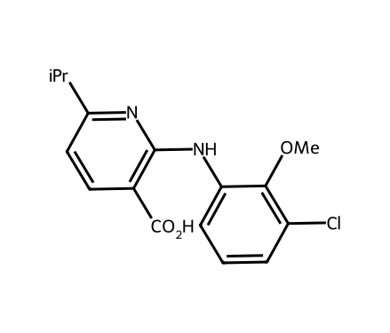 COc1c(Cl)cccc1Nc1nc(C(C)C)ccc1C(=O)O